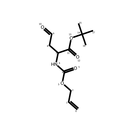 C=CCOC(=O)NC(CC=O)C(=O)OC(C)(C)C